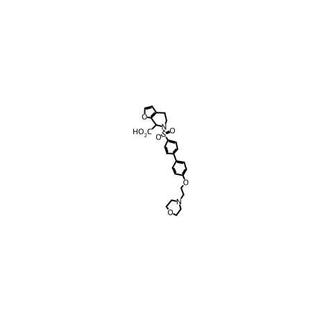 O=C(O)C1c2occc2CCN1S(=O)(=O)c1ccc(-c2ccc(OCCN3CCOCC3)cc2)cc1